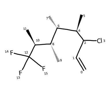 C=CC(Cl)[C@H](C)[C@@H](C)[C@H](C)[C@H](C)C(F)(F)F